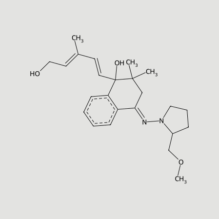 COCC1CCCN1N=C1CC(C)(C)C(O)(C=CC(C)=CCO)c2ccccc21